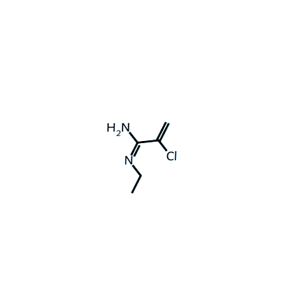 C=C(Cl)/C(N)=N\CC